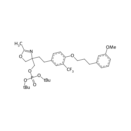 COc1cccc(CCCOc2ccc(CCC3(COP(=O)(OC(C)(C)C)OC(C)(C)C)COC(C)=N3)cc2C(F)(F)F)c1